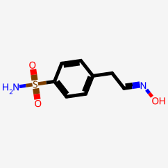 NS(=O)(=O)c1ccc(CC=NO)cc1